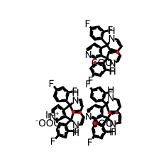 O=C([O-])c1nccc(C2(c3ccc(F)cc3F)C=CC=CN2)c1C1(c2ccc(F)cc2F)C=CC=CN1.O=C([O-])c1nccc(C2(c3ccc(F)cc3F)C=CC=CN2)c1C1(c2ccc(F)cc2F)C=CC=CN1.O=C([O-])c1nccc(C2(c3ccc(F)cc3F)C=CC=CN2)c1C1(c2ccc(F)cc2F)C=CC=CN1.[Ir+3]